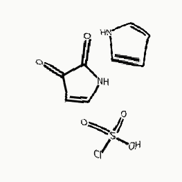 O=C1C=CNC1=O.O=S(=O)(O)Cl.c1cc[nH]c1